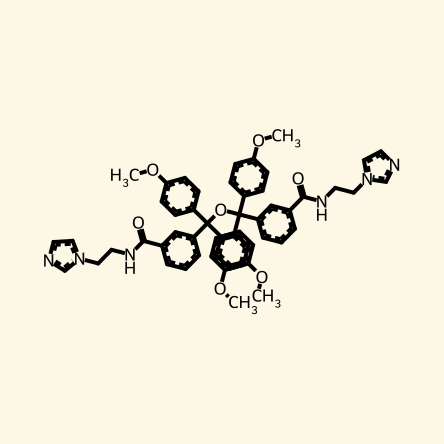 COc1ccc(C(OC(c2ccc(OC)cc2)(c2ccc(OC)cc2)c2cccc(C(=O)NCCn3ccnc3)c2)(c2ccc(OC)cc2)c2cccc(C(=O)NCCn3ccnc3)c2)cc1